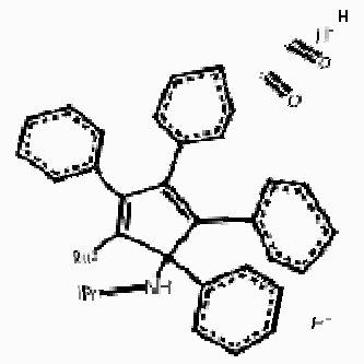 CC(C)NC1(c2ccccc2)[C]([Ru+3])=C(c2ccccc2)C(c2ccccc2)=C1c1ccccc1.[C]=O.[C]=O.[H-].[H-].[H-]